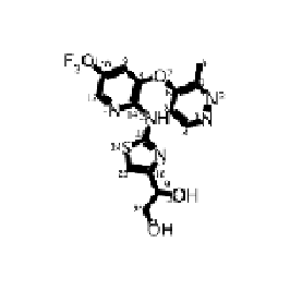 Cc1nnccc1Oc1cc(C(F)(F)F)cnc1Nc1nc(C(O)CO)cs1